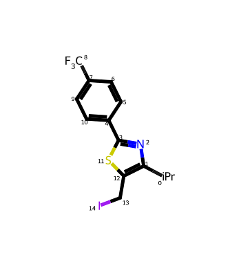 CC(C)c1nc(-c2ccc(C(F)(F)F)cc2)sc1CI